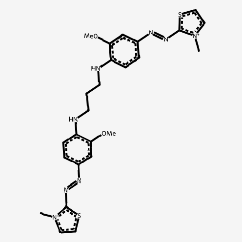 COc1cc(/N=N/c2scc[n+]2C)ccc1NCCCNc1ccc(/N=N/c2scc[n+]2C)cc1OC